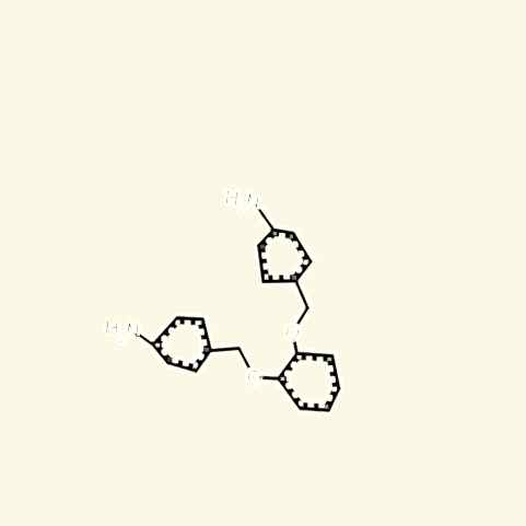 Nc1ccc(COc2ccccc2OCc2ccc(N)cc2)cc1